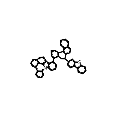 c1cc2c(c(-c3cccc4c3c3ccc5cccc6c7ccccc7n4c3c56)c1)CC(c1ccc3c(c1)sc1ccccc13)c1ccc3ccccc3c1-2